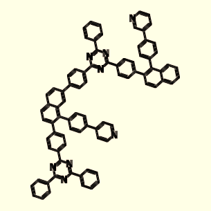 c1ccc(-c2nc(-c3ccc(-c4ccc5ccc(-c6ccc(-c7nc(-c8ccccc8)nc(-c8ccccc8)n7)cc6)c(-c6ccc(-c7ccncc7)cc6)c5c4)cc3)nc(-c3ccc(-c4ccc5ccccc5c4-c4ccc(-c5cccnc5)cc4)cc3)n2)cc1